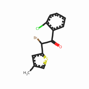 Cc1csc(C(Br)C(=O)c2ccccc2Cl)c1